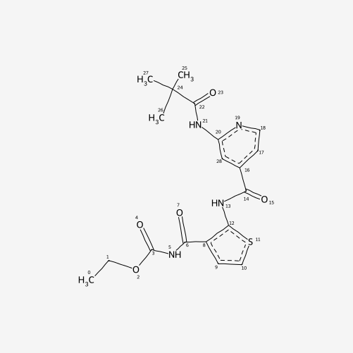 CCOC(=O)NC(=O)c1ccsc1NC(=O)c1ccnc(NC(=O)C(C)(C)C)c1